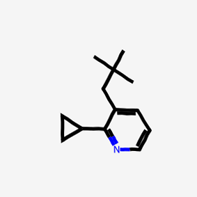 CC(C)(C)Cc1cccnc1C1CC1